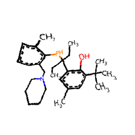 CCC(CC)(Pc1c(C)cccc1CN1CCCCC1)c1cc(C)cc(C(C)(C)C)c1O